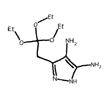 CCOC(Cc1n[nH]c(N)c1N)(OCC)OCC